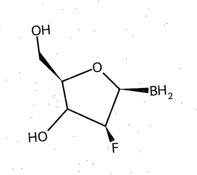 B[C@@H]1O[C@H](CO)C(O)[C@@H]1F